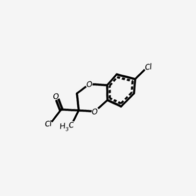 CC1(C(=O)Cl)COc2cc(Cl)ccc2O1